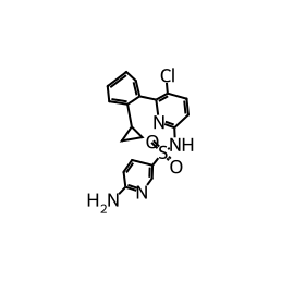 Nc1ccc(S(=O)(=O)Nc2ccc(Cl)c(-c3ccccc3C3CC3)n2)cn1